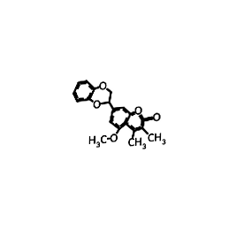 COc1cc(C2COc3ccccc3O2)cc2oc(=O)c(C)c(C)c12